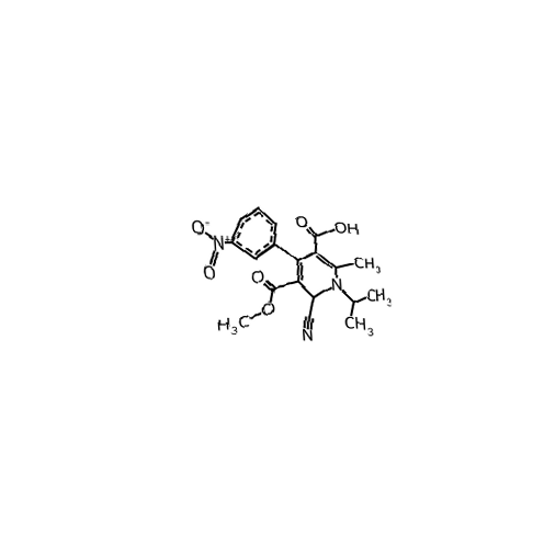 COC(=O)C1=C(c2cccc([N+](=O)[O-])c2)C(C(=O)O)=C(C)N(C(C)C)C1C#N